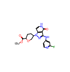 CC(C)(C)OC(=O)C1CCC(n2nc(Nc3ccnc(F)c3)c3c(=O)[nH]ccc32)CO1